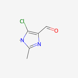 CC1=NC(C=O)=C(Cl)[N]1